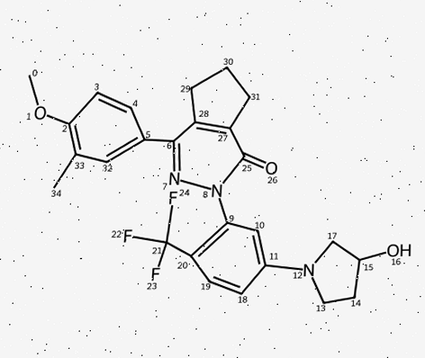 COc1ccc(-c2nn(-c3cc(N4CCC(O)C4)ccc3C(F)(F)F)c(=O)c3c2CCC3)cc1C